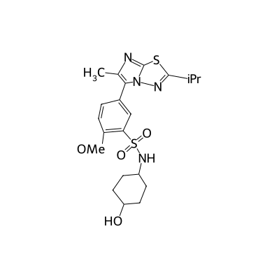 COc1ccc(-c2c(C)nc3sc(C(C)C)nn23)cc1S(=O)(=O)NC1CCC(O)CC1